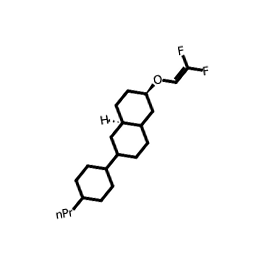 CCCC1CCC(C2CCC3C[C@H](OC=C(F)F)CC[C@@H]3C2)CC1